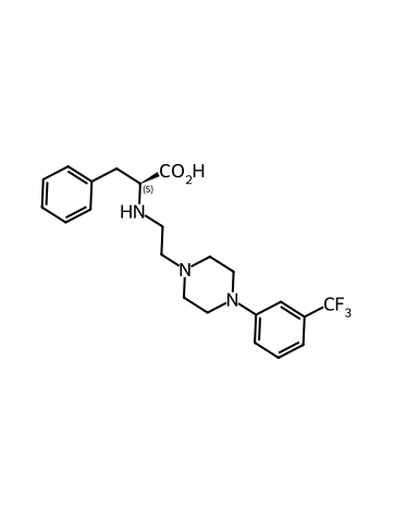 O=C(O)[C@H](Cc1ccccc1)NCCN1CCN(c2cccc(C(F)(F)F)c2)CC1